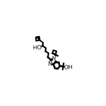 CC(C)(O)c1ccc2nc(CCCCC(O)CC34CC(C3)C4)n(C3(C)CCC3)c2c1